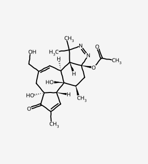 CC(=O)O[C@@]12C[C@@H](C)[C@@]3(O)[C@@H](C=C(CO)C[C@]4(O)C(=O)C(C)=C[C@@H]34)[C@@H]1C(C)(C)N=N2